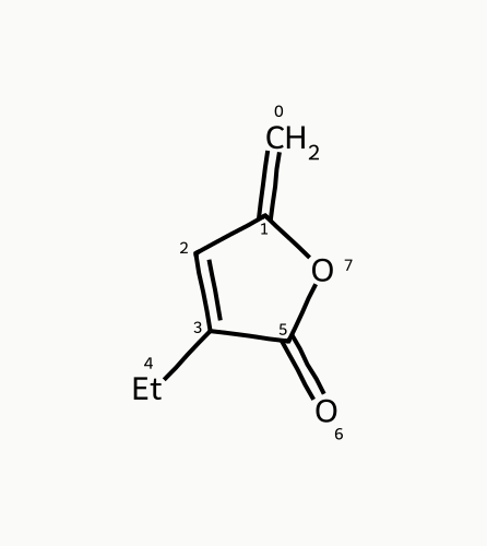 C=C1C=C(CC)C(=O)O1